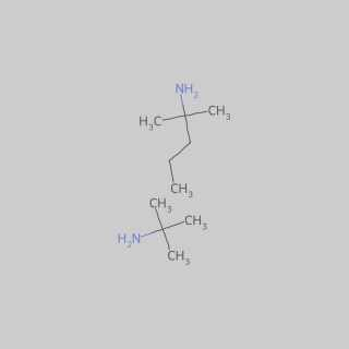 CC(C)(C)N.CCCC(C)(C)N